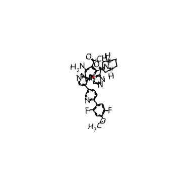 COc1cc(F)c(-c2ccc(-c3cnn4c(N)c(C(C)=O)c([C@H]5C[C@H]6CC[C@@H](C5)N6C(=O)c5nnc[nH]5)nc34)cn2)cc1F